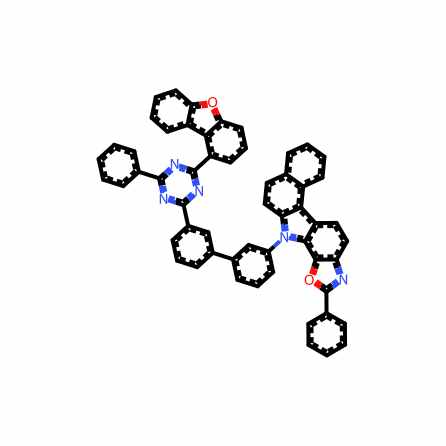 c1ccc(-c2nc(-c3cccc(-c4cccc(-n5c6ccc7ccccc7c6c6ccc7nc(-c8ccccc8)oc7c65)c4)c3)nc(-c3cccc4oc5ccccc5c34)n2)cc1